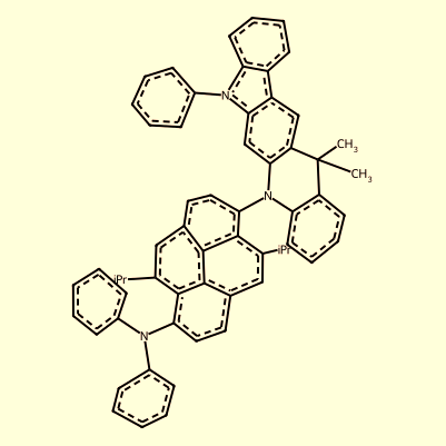 CC(C)c1cc2ccc(N3c4ccccc4C(C)(C)c4cc5c6ccccc6n(-c6ccccc6)c5cc43)c3c(C(C)C)cc4ccc(N(c5ccccc5)c5ccccc5)c1c4c23